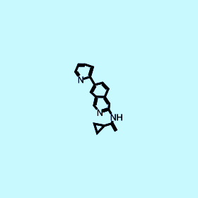 C=C(Nc1cc2ccc(-c3ccccn3)cc2cn1)C1CC1